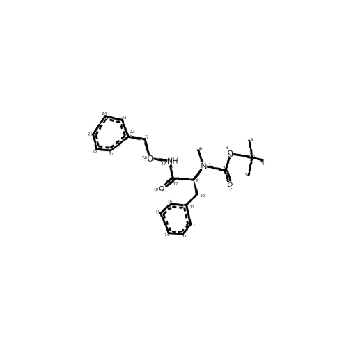 CN(C(=O)OC(C)(C)C)[C@@H](Cc1ccccc1)C(=O)NOCc1ccccc1